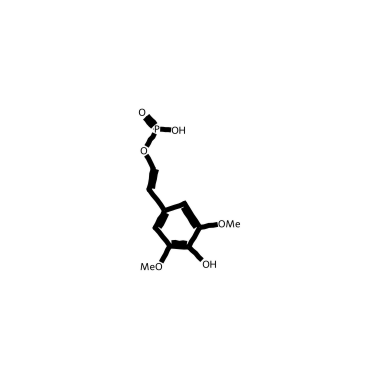 COc1cc(/C=C/O[P](=O)O)cc(OC)c1O